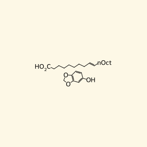 CCCCCCCCC=CCCCCCCCC(=O)O.Oc1ccc2c(c1)OCO2